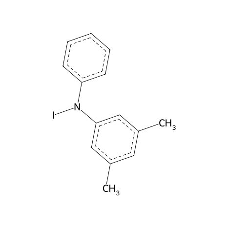 Cc1cc(C)cc(N(I)c2ccccc2)c1